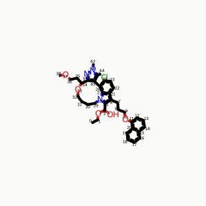 CCOC(O)c1c(CCCOc2cccc3ccccc23)c2ccc(Cl)c3c2n1CCCCOC(CCOC)c1nn(C)c(C)c1-3